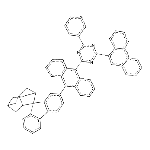 c1cncc(-c2nc(-c3c4ccccc4c(-c4ccc5c(c4)C4(c6ccccc6-5)C5CC6CC(C5)C4C6)c4ccccc34)nc(-c3cc4ccccc4c4ccccc34)n2)c1